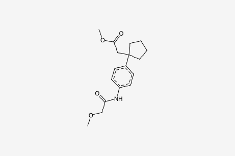 COCC(=O)Nc1ccc(C2(CC(=O)OC)CCCC2)cc1